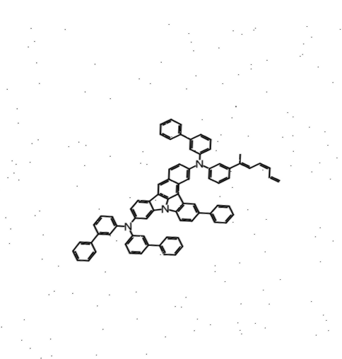 C=C/C=C\C=C(/C)c1cccc(N(c2cccc(-c3ccccc3)c2)c2ccc3cc4c5ccc(N(c6cccc(-c7ccccc7)c6)c6cccc(-c7ccccc7)c6)cc5n5c6ccc(-c7ccccc7)cc6c(c3c2)c45)c1